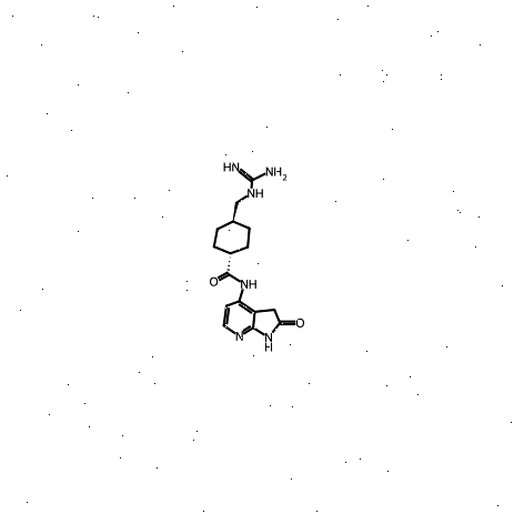 N=C(N)NC[C@H]1CC[C@H](C(=O)Nc2ccnc3c2CC(=O)N3)CC1